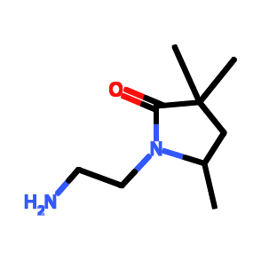 CC1CC(C)(C)C(=O)N1CCN